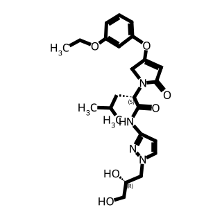 CCOc1cccc(OC2=CC(=O)N([C@@H](CC(C)C)C(=O)Nc3ccn(C[C@@H](O)CO)n3)C2)c1